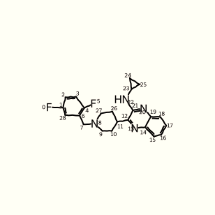 Fc1ccc(F)c(CN2CCC(c3nc4ccccc4nc3NC3CC3)CC2)c1